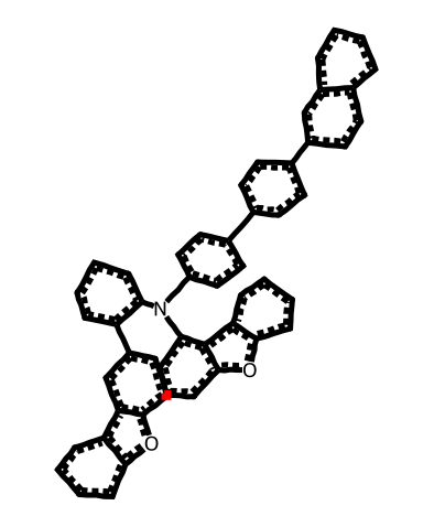 c1ccc(N(c2ccc(-c3ccc(-c4ccc5ccccc5c4)cc3)cc2)c2cccc3oc4ccccc4c23)c(-c2ccc3oc4ccccc4c3c2)c1